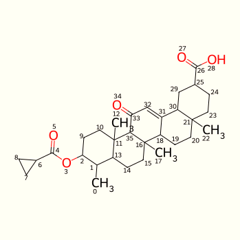 CC1C(OC(=O)C2CC2)CCC2(C)C1CCC1(C)C3CCC4(C)CCC(C(=O)O)CC4C3=CC(=O)C12